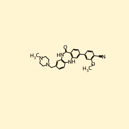 COc1cc(-c2ccc3c(c2)Nc2ccc(CN4CCN(C)CC4)cc2NC3=O)ccc1C#N